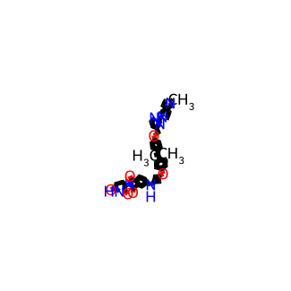 CN1CCC2(CCN(c3nccc(COc4ccc(C(C)(C)c5ccc(OC6CC(Nc7ccc8c(c7)C(=O)N(C7CCC(=O)NC7=O)C8=O)C6)cc5)cc4)n3)C2)C1